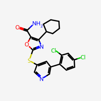 NC(=O)c1oc(Sc2cncc(-c3ccc(Cl)cc3Cl)c2)nc1C1CCCCC1